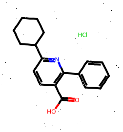 Cl.O=C(O)c1ccc(C2CCCCC2)nc1-c1ccccc1